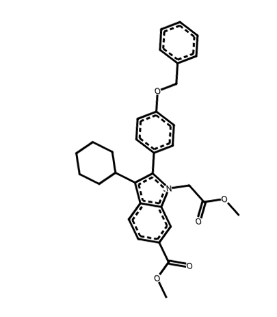 COC(=O)Cn1c(-c2ccc(OCc3ccccc3)cc2)c(C2CCCCC2)c2ccc(C(=O)OC)cc21